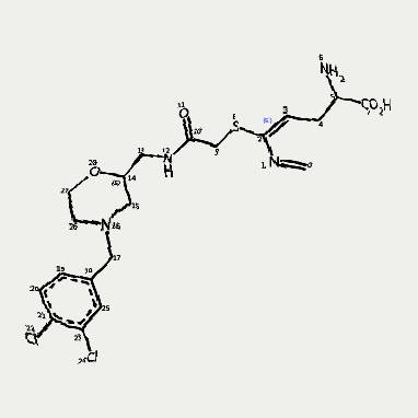 C=N/C(=C\CC(N)C(=O)O)SCC(=O)NC[C@H]1CN(Cc2ccc(Cl)c(Cl)c2)CCO1